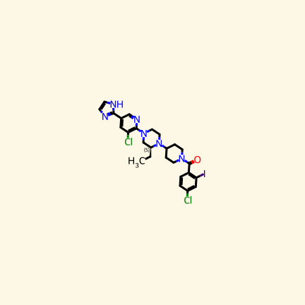 CC[C@H]1CN(c2ncc(-c3ncc[nH]3)cc2Cl)CCN1C1CCN(C(=O)c2ccc(Cl)cc2I)CC1